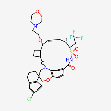 C[C@H]1C/C=C\[C@H](OCCN2CCOCC2)C2CCC2CN2C[C@@]3(CCCc4cc(Cl)ccc43)COc3ccc(cc32)C(=O)NS(=O)(=O)C1CC(F)(F)F